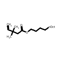 C=CC(C)(C)CC(=O)OCCCCCCCCCCCC